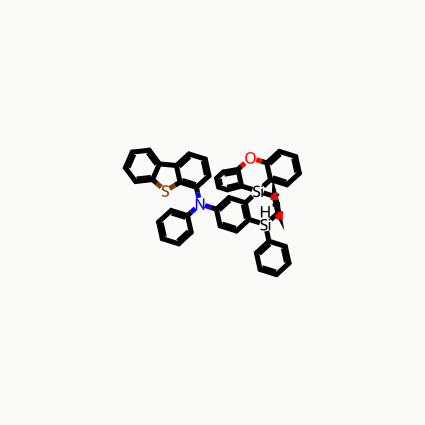 c1ccc(N(c2ccc3c(c2)[Si]2(c4ccccc4Oc4ccccc42)c2ccccc2[SiH]3c2ccccc2)c2cccc3c2sc2ccccc23)cc1